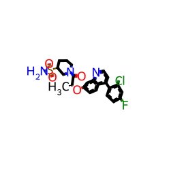 C[C@@H](Oc1ccc2c(-c3ccc(F)cc3Cl)ccnc2c1)C(=O)N1CCC[C@H](S(N)(=O)=O)C1